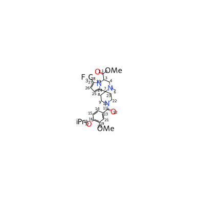 COC(=O)C1CN(C)C2(CCN(C(=O)c3ccc(OC(C)C)c(OC)c3)CC2)c2ccc(C(F)(F)F)n21